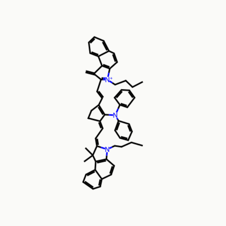 C=C1C(C=CC2=C(N(c3ccccc3)c3ccccc3)C(=CC=C3N(CCCC)c4ccc5ccccc5c4C3(C)C)CC2)=[N+](CCCC)c2ccc3ccccc3c21